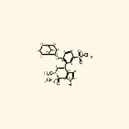 C.Cn1cc(-c2cc(S(C)(=O)=O)ccc2OC2CCC3CCCC2C3)c2cc[nH]c2c1=O